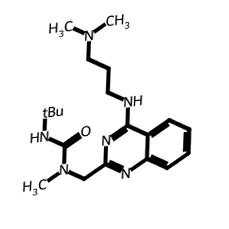 CN(C)CCCNc1nc(CN(C)C(=O)NC(C)(C)C)nc2ccccc12